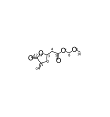 C=C1CC(CC(=O)OCOC)OC1=O